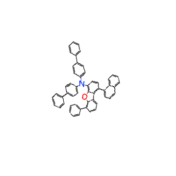 c1ccc(-c2ccc(N(c3ccc(-c4ccccc4)cc3)c3ccc(-c4cccc5ccccc45)c4c3oc3c(-c5ccccc5)cccc34)cc2)cc1